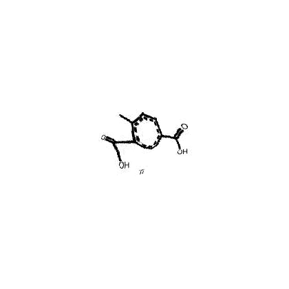 Cc1ccc(C(=O)O)cc1C(=O)O.[Ti]